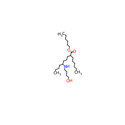 CCCCCCOC(=O)C(CCCCCC)CCCC(CCCC)NCCCCO